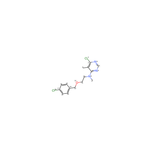 Cc1c(Cl)ncnc1N(C)CCOCc1ccc(Cl)cc1